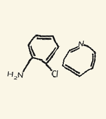 Nc1ccccc1Cl.c1ccncc1